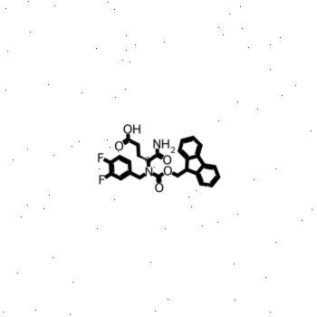 NC(=O)[C@H](CCC(=O)O)N(Cc1ccc(F)c(F)c1)C(=O)OCC1c2ccccc2-c2ccccc21